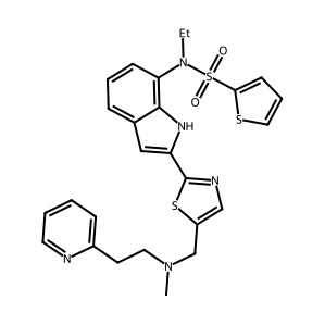 CCN(c1cccc2cc(-c3ncc(CN(C)CCc4ccccn4)s3)[nH]c12)S(=O)(=O)c1cccs1